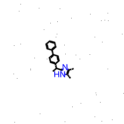 Cc1nc(C(C)c2ccc(-c3ccccc3)cc2)[nH]c1C